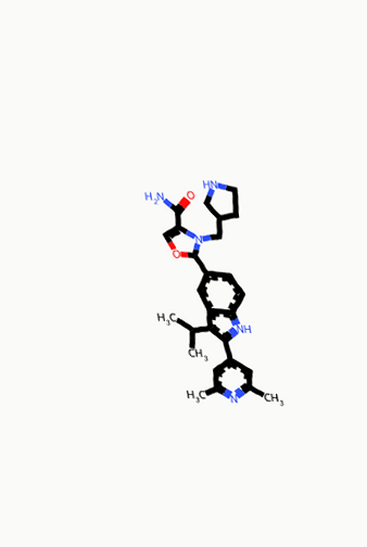 Cc1cc(-c2[nH]c3ccc(C4OC=C(C(N)=O)N4CC4CCNC4)cc3c2C(C)C)cc(C)n1